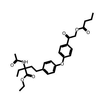 CCCC(=O)OCC(=O)c1ccc(Oc2ccc(CCC(CC)(NC(C)=O)C(=O)OCC)cc2)cc1